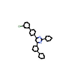 Clc1cccc(-c2ccc(-c3cc(-c4cccc(-c5ccccc5)c4)nc(-c4ccccc4)n3)cc2)c1